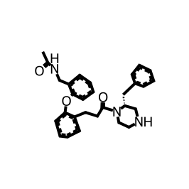 CC(=O)NCc1ccccc1Oc1ccccc1CCC(=O)N1CCNC[C@H]1Cc1ccccc1